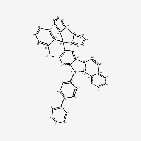 c1ccc(-c2ccc(-n3c4cc5c(cc4c4ccc6ccccc6c43)C3(c4ccccc4S5)c4ccccc4-c4ccccc43)cc2)cc1